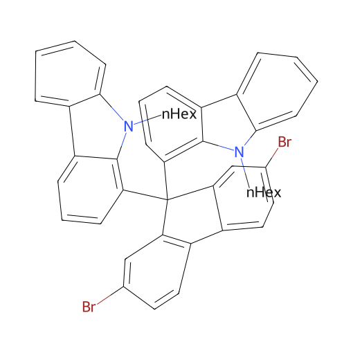 CCCCCCn1c2ccccc2c2cccc(C3(c4cccc5c6ccccc6n(CCCCCC)c45)c4cc(Br)ccc4-c4ccc(Br)cc43)c21